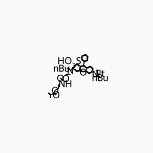 C=C(C)C(=O)OCCNC(=O)OCCN(CCCC)c1ccc2c(-c3ccccc3S(=O)(=O)O)c3cc/c(=[N+](\CC)CCCC)cc-3oc2c1